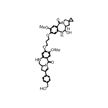 COc1cc2c(cc1OCCCOc1cc3c(cc1OC)C(=O)N1CC4(CC4)C[C@H]1C(O)N3)NCC1CC(c3ccc(CO)cc3)=CN1C2=O